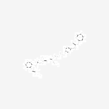 CC(=O)OC(C(=O)N/C(N)=C/C=C(\N)CCCCc1nnc(NC(=O)Cc2ccccn2)s1)c1ccccc1